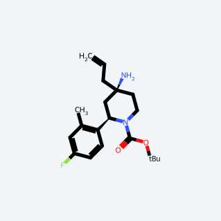 C=CC[C@]1(N)CCN(C(=O)OC(C)(C)C)[C@@H](c2ccc(F)cc2C)C1